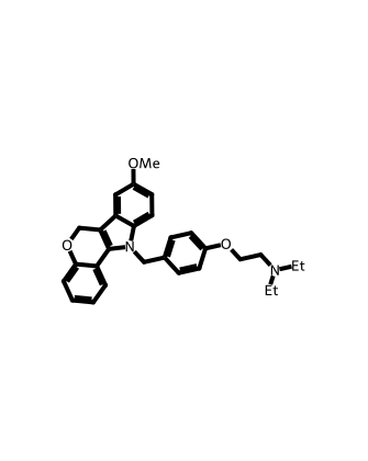 CCN(CC)CCOc1ccc(Cn2c3c(c4cc(OC)ccc42)COc2ccccc2-3)cc1